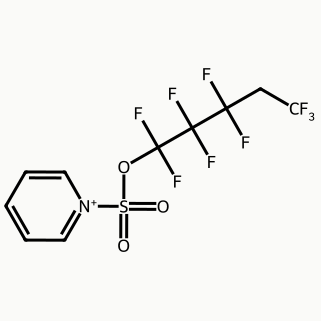 O=S(=O)(OC(F)(F)C(F)(F)C(F)(F)CC(F)(F)F)[n+]1ccccc1